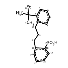 CCC(C)(C)c1ccccc1CCCc1ccccc1S(=O)(=O)O